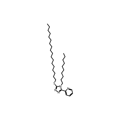 CCCCCCCCCCCCCCCCCCSc1nnc(-c2ccccn2)n1CCCCCCCCCC